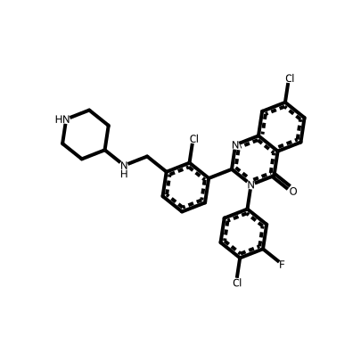 O=c1c2ccc(Cl)cc2nc(-c2cccc(CNC3CCNCC3)c2Cl)n1-c1ccc(Cl)c(F)c1